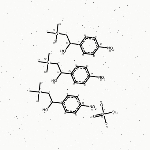 C[N+](C)(C)CC(O)c1ccc([N+](=O)[O-])cc1.C[N+](C)(C)CC(O)c1ccc([N+](=O)[O-])cc1.C[N+](C)(C)CC(O)c1ccc([N+](=O)[O-])cc1.O=P([O-])([O-])[O-]